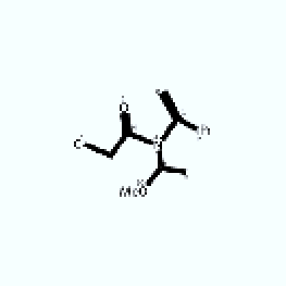 C=C(C(C)C)N(C(=O)CCl)C(C)OC